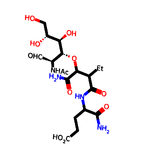 CCC(C(=O)NC(CCC(=O)O)C(N)=O)C(O[C@@H]([C@H](O)[C@H](O)CO)[C@H](C=O)NC(C)=O)C(N)=O